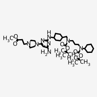 COC(=O)CCN1CCN(c2cc(N)nc(NC3CCC(CN(CCCN(C(=O)OC(C)(C)C)C4CCCCC4)C(=O)OC(C)(C)C)CC3)n2)CC1